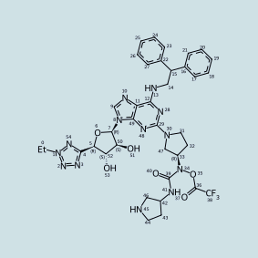 CCn1nnc([C@H]2O[C@@H](n3cnc4c(NCC(c5ccccc5)c5ccccc5)nc(N5CC[C@@H](N(OC(=O)C(F)(F)F)C(=O)NC6CCNC6)C5)nc43)[C@@H](O)[C@@H]2O)n1